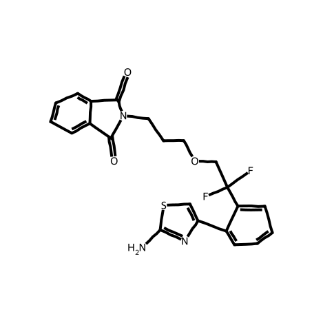 Nc1nc(-c2ccccc2C(F)(F)COCCCN2C(=O)c3ccccc3C2=O)cs1